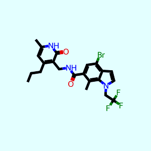 CCCc1cc(C)[nH]c(=O)c1CNC(=O)c1cc(Br)c2ccn(CC(F)(F)F)c2c1C